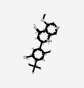 COc1cncc2[nH]c(-c3cc(Cl)c(C(C)(C)C)cc3C)cc(=O)c12